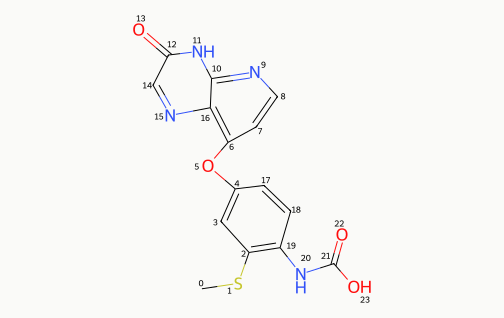 CSc1cc(Oc2ccnc3[nH]c(=O)cnc23)ccc1NC(=O)O